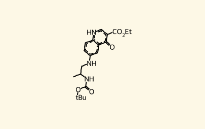 CCOC(=O)c1c[nH]c2ccc(NCC(C)NC(=O)OC(C)(C)C)cc2c1=O